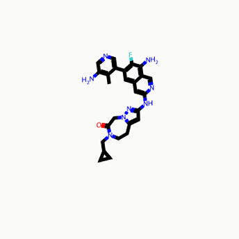 Cc1c(N)cncc1-c1cc2cc(Nc3cc4n(n3)CC(=O)N(CC3CC3)CC4)ncc2c(N)c1F